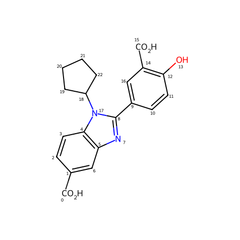 O=C(O)c1ccc2c(c1)nc(-c1ccc(O)c(C(=O)O)c1)n2C1CCCC1